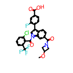 COC1CN(C(=O)c2ccc3c(-c4ccc(C(=O)O)cc4F)cn(C(=O)c4c(Cl)cccc4C(F)(F)F)c3c2)C1